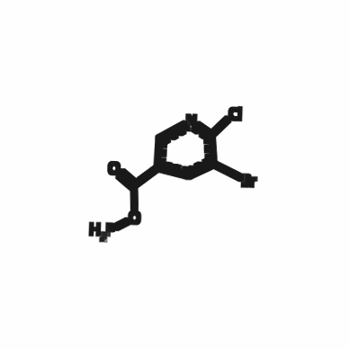 O=C(OP)c1cnc(Cl)c(Br)c1